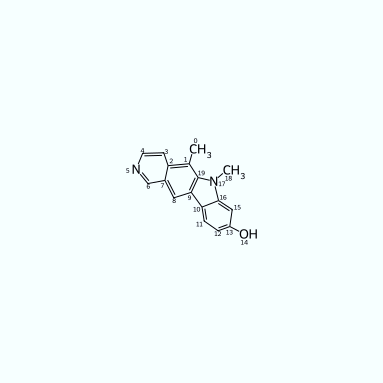 Cc1c2ccncc2cc2c3ccc(O)cc3n(C)c12